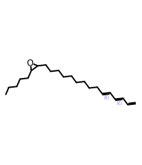 C=C/C=C/C=C/CCCCCCCCCC1OC1CCCCC